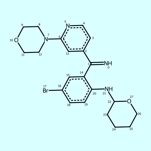 N=C(c1ccnc(N2CCOCC2)c1)c1cc(Br)ccc1NC1CCCCO1